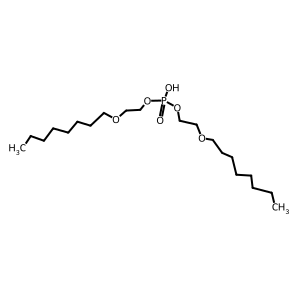 CCCCCCCCOCCOP(=O)(O)OCCOCCCCCCCC